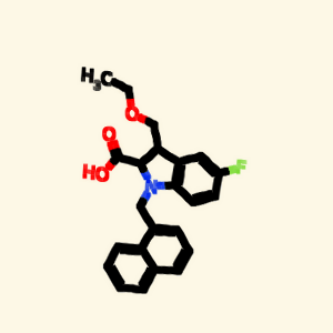 CCOCC1c2cc(F)ccc2N(Cc2cccc3ccccc23)C1C(=O)O